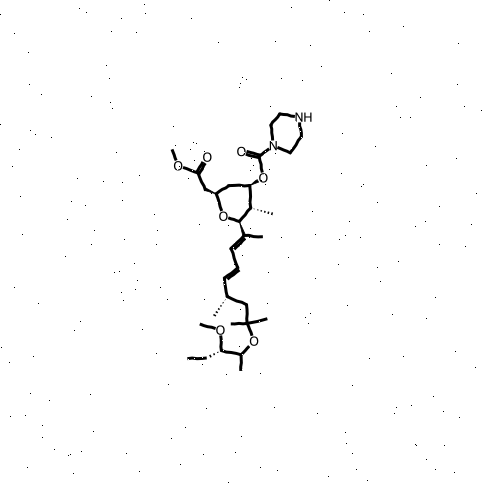 CC[C@H](OC)C(C)OC(C)(C)C[C@H](C)/C=C/C=C(\C)[C@H]1O[C@@H](CC(=O)OC)C[C@@H](OC(=O)N2CCNCC2)[C@@H]1C